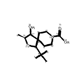 C[C@@H]1OC(C(C)(C)C)C2(CCN(C(=O)O)CC2)C1O